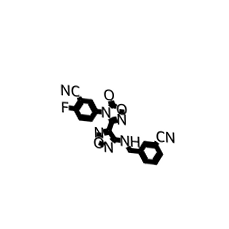 N#Cc1cccc(CNc2nonc2-c2noc(=O)n2-c2ccc(F)c(C#N)c2)c1